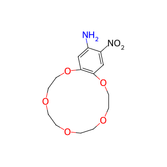 Nc1cc2c(cc1[N+](=O)[O-])OCCOCCOCCOCCO2